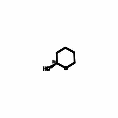 O[C@H]1CCCCO1